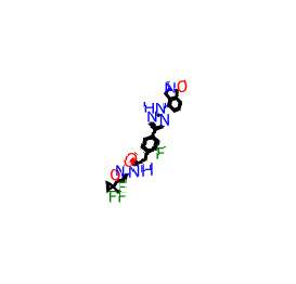 CN1Cc2c(Nc3ncc(-c4ccc(CC(=O)Nc5cc(C6(C(F)(F)F)CC6)on5)c(F)c4)cn3)cccc2C1=O